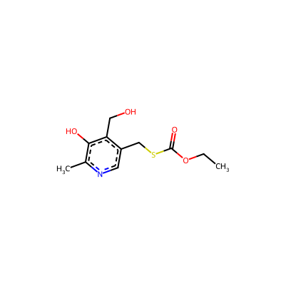 CCOC(=O)SCc1cnc(C)c(O)c1CO